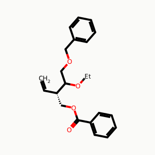 C=C[C@@H](COC(=O)c1ccccc1)C(COCc1ccccc1)OCC